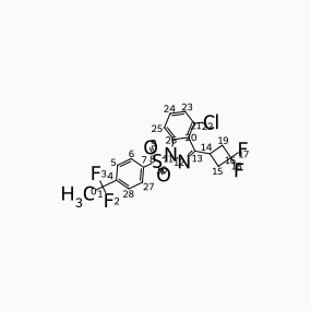 CC(F)(F)c1ccc(S(=O)(=O)n2nc(C3CC(F)(F)C3)c3c(Cl)cccc32)cc1